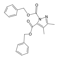 Cc1nn(C(=O)OCc2ccccc2)c(C(=O)OCc2ccccc2)c1C